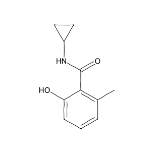 Cc1cccc(O)c1C(=O)NC1CC1